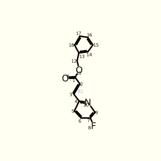 O=C(/C=C/c1ccc(F)cn1)OCc1ccccc1